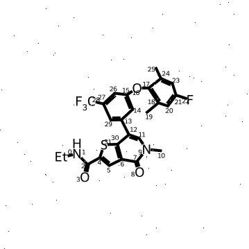 CCNC(=O)c1cc2c(=O)n(C)cc(-c3cc(Oc4c(C)cc(F)cc4C)cc(C(F)(F)F)c3)c2s1